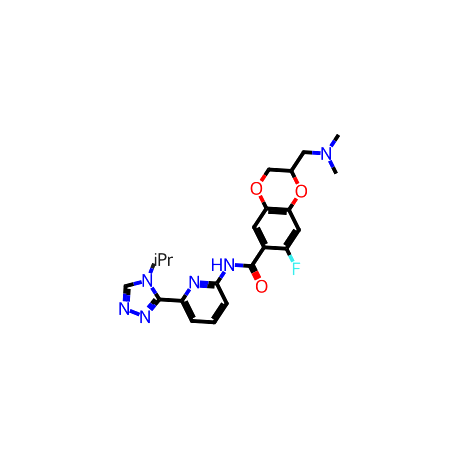 CC(C)n1cnnc1-c1cccc(NC(=O)c2cc3c(cc2F)OC(CN(C)C)CO3)n1